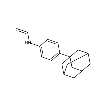 O=[C]Nc1ccc(C23CC4CC(CC(C4)C2)C3)cc1